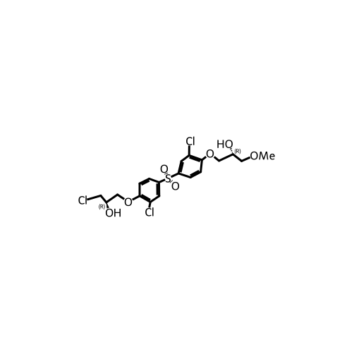 COC[C@@H](O)COc1ccc(S(=O)(=O)c2ccc(OC[C@@H](O)CCl)c(Cl)c2)cc1Cl